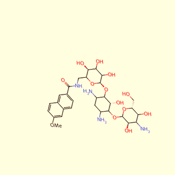 COc1ccc2cc(C(=O)NCC3O[C@H](OC4C(N)CC(N)C(OC5O[C@H](CO)C(O)C(N)[C@H]5O)[C@H]4O)C(O)C(O)[C@@H]3O)ccc2c1